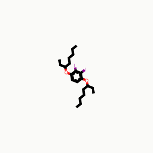 CCCCCC(CC)Oc1ccc(OC(CC)CCCCC)c(I)c1I